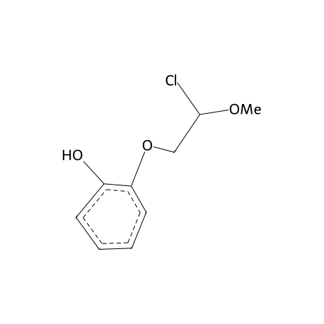 COC(Cl)COc1ccccc1O